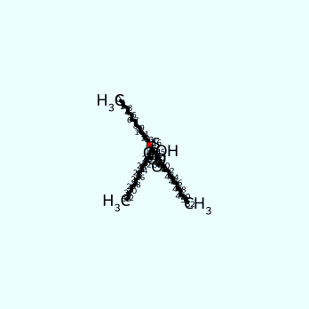 CCCCCCCCCCCCCCCC(=S)C(OC(=O)CCCCCCCCCCCCC)C(O)COC(=O)CCCCCCCCCCCCC